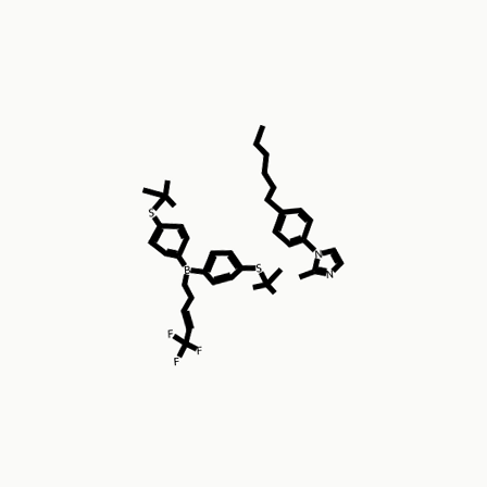 CC(C)(C)Sc1ccc(B(CCC=CC(F)(F)F)c2ccc(SC(C)(C)C)cc2)cc1.CCCCCCc1ccc(-n2ccnc2C)cc1